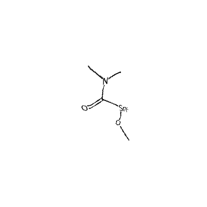 C[O][Sn][C](=O)N(C)C